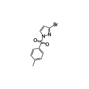 Cc1ccc(S(=O)(=O)n2ccc(Br)n2)cc1